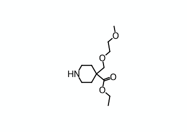 CCOC(=O)C1(COCCOC)CCNCC1